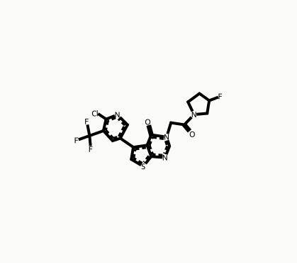 O=C(Cn1cnc2scc(-c3cnc(Cl)c(C(F)(F)F)c3)c2c1=O)N1CCC(F)C1